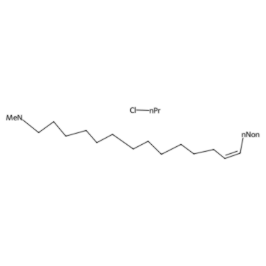 CCCCCCCCC/C=C\CCCCCCCCCCCCNC.CCCCl